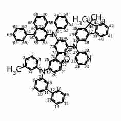 Cc1cccc(N(c2cccc(-c3ccccc3)c2)c2ccc3oc4c(N(c5cccnc5)c5ccc6c(c5)-c5ccccc5C6(C)C)cc(N(c5ccccc5)c5ccc(-c6ccccc6)c6ccccc56)cc4c3c2)c1